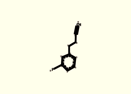 C#C[CH]Cc1cccc(F)c1